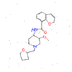 COC1CN(CC2CCCO2)CCC1NC(=O)c1cccc2c1OCC=C2